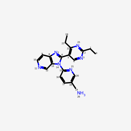 CCc1ncc(-c2nc3ccncc3n2-c2ccc(C)cn2)c(CC)n1.N